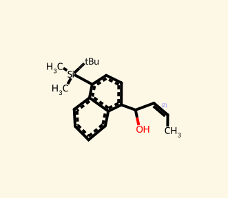 C/C=C\C(O)c1ccc([Si](C)(C)C(C)(C)C)c2ccccc12